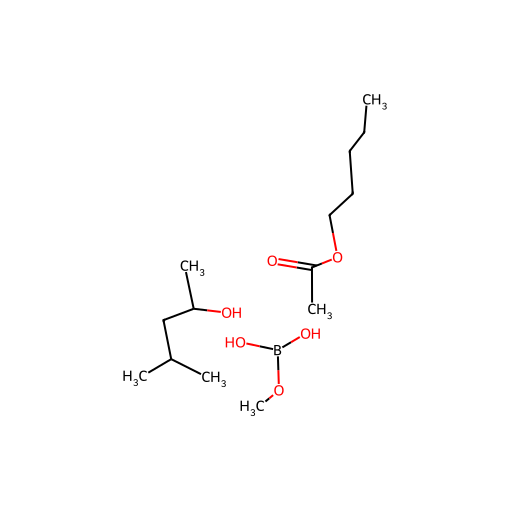 CC(C)CC(C)O.CCCCCOC(C)=O.COB(O)O